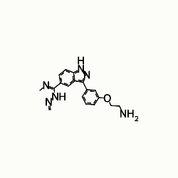 C=NN/C(=N\C)c1ccc2[nH]nc(-c3cccc(OCCN)c3)c2c1